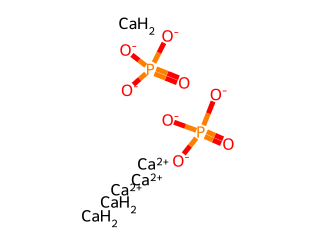 O=P([O-])([O-])[O-].O=P([O-])([O-])[O-].[Ca+2].[Ca+2].[Ca+2].[CaH2].[CaH2].[CaH2]